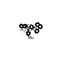 CC(C)(C)c1ccc(C(C)(C)N(c2ccc3ccccc3c2)C2(C)C=CC(N(c3ccccc3)c3cccc4ccccc34)=CC2)cc1